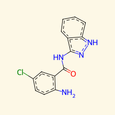 Nc1ccc(Cl)cc1C(=O)Nc1n[nH]c2ccccc12